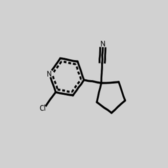 N#CC1(c2ccnc(Cl)c2)CCCC1